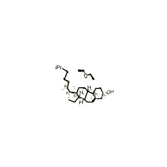 C=COC=C.CC(C)CCC[C@@H](C)[C@H]1CC[C@H]2[C@@H]3CC=C4C[C@@H](O)CC[C@]4(C)[C@H]3CC[C@]12C